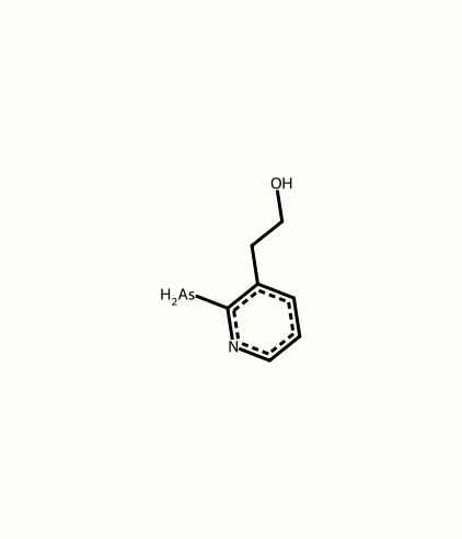 OCCc1cccnc1[AsH2]